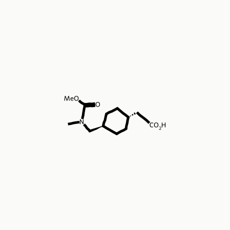 COC(=O)N(C)C[C@H]1CC[C@H](CC(=O)O)CC1